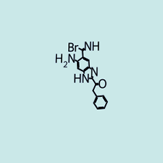 N=C(Br)c1cc2nc(C(=O)Cc3ccccc3)[nH]c2cc1N